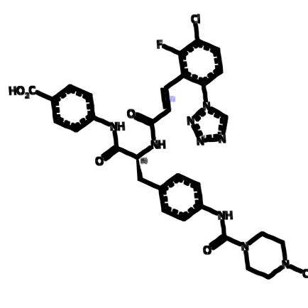 CN1CCN(C(=O)Nc2ccc(C[C@H](NC(=O)/C=C/c3c(-n4cnnn4)ccc(Cl)c3F)C(=O)Nc3ccc(C(=O)O)cc3)cc2)CC1